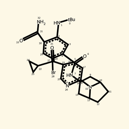 CC(C)(C)Nc1cc(C(=O)NC2CC3CCC(C2)N3c2ccc(C(=O)C3CC3)cn2)c(Br)cc1C(N)=O